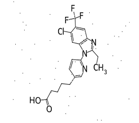 CCc1nc2cc(C(F)(F)F)c(Cl)cc2n1-c1ccc(CCCCC(=O)O)cn1